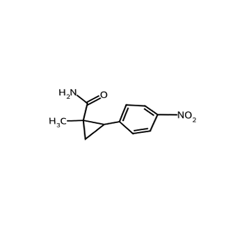 CC1(C(N)=O)CC1c1ccc([N+](=O)[O-])cc1